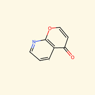 O=c1ccoc2ncc[c]c12